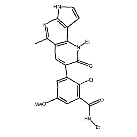 CCNC(=O)c1cc(OC)cc(-c2cc3c(C)nc4[nH]ccc4c3n(CC)c2=O)c1Cl